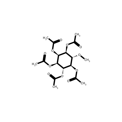 CO[C@@H]1[C@@H](OC(C)=O)[C@H](OC(C)=O)[C@@H](OC(C)=O)[C@@H](OC(C)=O)[C@H]1OC(C)=O